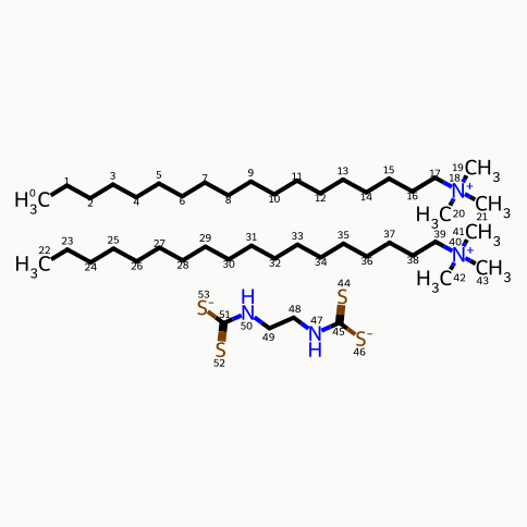 CCCCCCCCCCCCCCCCCC[N+](C)(C)C.CCCCCCCCCCCCCCCCCC[N+](C)(C)C.S=C([S-])NCCNC(=S)[S-]